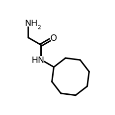 NCC(=O)NC1CCCCCCC1